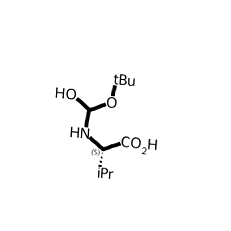 CC(C)[C@H](NC(O)OC(C)(C)C)C(=O)O